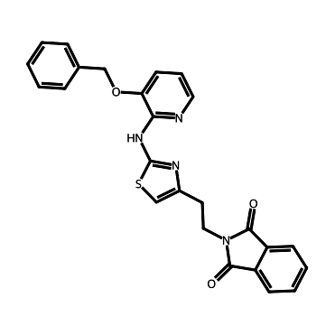 O=C1c2ccccc2C(=O)N1CCc1csc(Nc2ncccc2OCc2ccccc2)n1